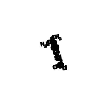 COc1ccc(S(=O)(=O)N2CCN(c3nc(Cc4cc(Cl)cc(Cl)c4)cs3)CC2)cc1OC